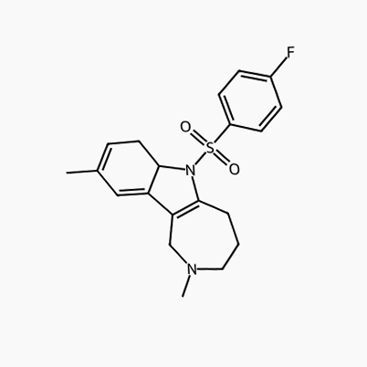 CC1=CCC2C(=C1)C1=C(CCCN(C)C1)N2S(=O)(=O)c1ccc(F)cc1